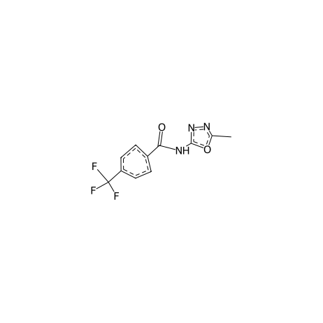 Cc1nnc(NC(=O)c2ccc(C(F)(F)F)cc2)o1